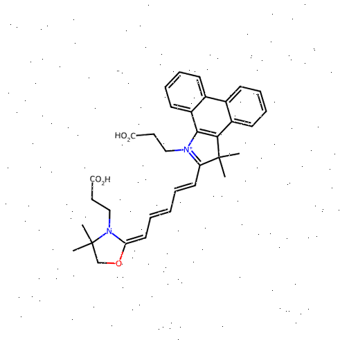 CC1(C)C(/C=C/C=C/C=C2/OCC(C)(C)N2CCC(=O)O)=[N+](CCC(=O)O)c2c1c1ccccc1c1ccccc21